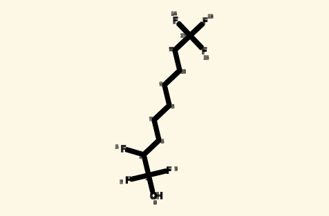 OC(F)(F)C(F)CCCCCCC(F)(F)F